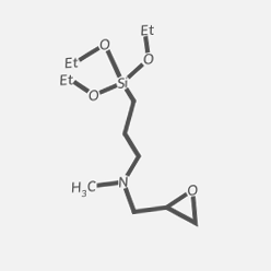 CCO[Si](CCCN(C)CC1CO1)(OCC)OCC